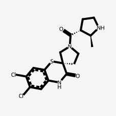 C[C@@H]1NCC[C@H]1C(=O)N1CC[C@@]2(C1)Sc1cc(Cl)c(Cl)cc1NC2=O